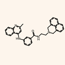 Cc1cc(Nc2cccc(C(=O)NCCN3Cc4cccc5cccc(c45)C3)c2)c2ccccc2n1